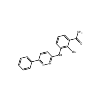 CC(C)(C)c1c(Nc2ccc(-c3ccccc3)nn2)cccc1C(N)=O